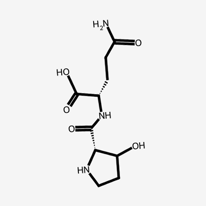 NC(=O)CC[C@H](NC(=O)[C@H]1NCCC1O)C(=O)O